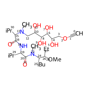 C#COCC(O)C(O)C(O)C(O)CN(C)C(C(=O)NC(C(=O)N(C)C(C(C)CC)C(CC)OC)C(C)C)C(C)C